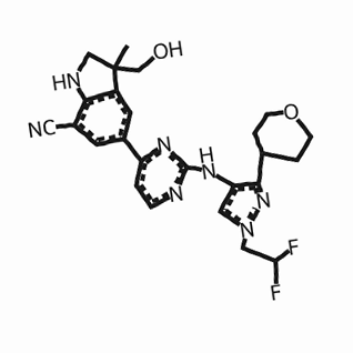 CC1(CO)CNc2c(C#N)cc(-c3ccnc(Nc4cn(CC(F)F)nc4C4CCOCC4)n3)cc21